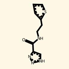 O=C(NCCc1cccs1)c1c[nH]nn1